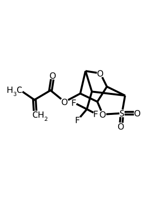 C=C(C)C(=O)OC1C2OS(=O)(=O)C3C2OC1C3C(F)(F)F